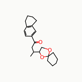 CC(CC(=O)c1ccc2c(c1)CCCC2)C1COC2(CCCCC2)O1